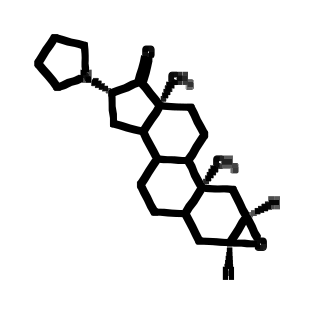 C[C@]12C[C@H]3O[C@H]3CC1CCC1C2CC[C@]2(C)C(=O)[C@@H](N3CCCC3)CC12